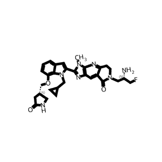 Cn1c(-c2cc3cccc(OC[C@@H]4CNC(=O)C4)c3n2CC2CC2)nc2cc3c(nc21)CCN(C[C@H](N)CF)C3=O